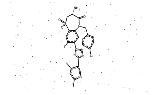 Cc1cc(C)c(-c2nc(-c3cc4c(cc3F)S(=O)(=O)C[C@H](N)C(=O)N4Cc3ccc(Cl)cc3)no2)cn1